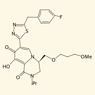 COCCCOC[C@H]1CN(C(C)C)C(=O)c2c(O)c(=O)c(-c3nnc(Cc4ccc(F)cc4)s3)cn21